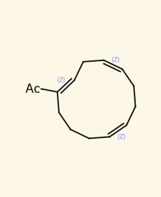 CC(=O)/C1=C\C/C=C\CC/C=C\CCC1